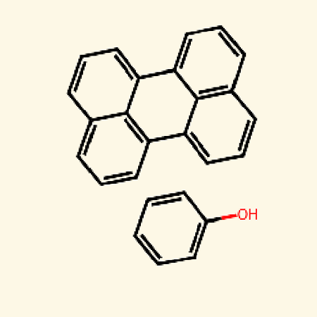 Oc1ccccc1.c1cc2cccc3c4cccc5cccc(c(c1)c23)c54